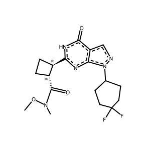 CON(C)C(=O)[C@@H]1CC[C@H]1c1nc2c(cnn2C2CCC(F)(F)CC2)c(=O)[nH]1